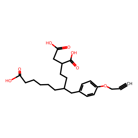 C#CCOc1ccc(CC(CCCCCC(=O)O)CCC(CC(=O)O)C(=O)O)cc1